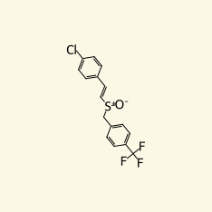 [O-][S+](C=Cc1ccc(Cl)cc1)Cc1ccc(C(F)(F)F)cc1